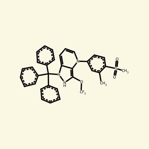 Cc1cc(N2C=CC=C3C2=C(OC(F)(F)F)NN3C(c2ccccc2)(c2ccccc2)c2ccccc2)ccc1S(C)(=O)=O